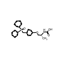 C[C@H](COc1ccc(CP(=O)(c2ccccc2)c2ccccc2)cc1)NC(=O)O